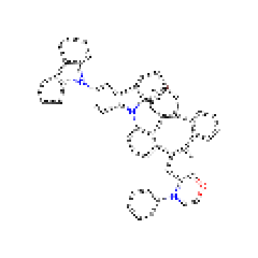 c1ccc(-n2ccoc3cc4c5ccccc5c5ccccc5c5c(-n6c7ccccc7c7cc(-n8c9ccccc9c9ccccc98)ccc76)cccc5c4cc32)cc1